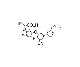 CC(C)C(Oc1nc(Oc2cc(C#N)cc(-c3cccc(CN)c3)c2)c(F)cc1F)C(=O)O